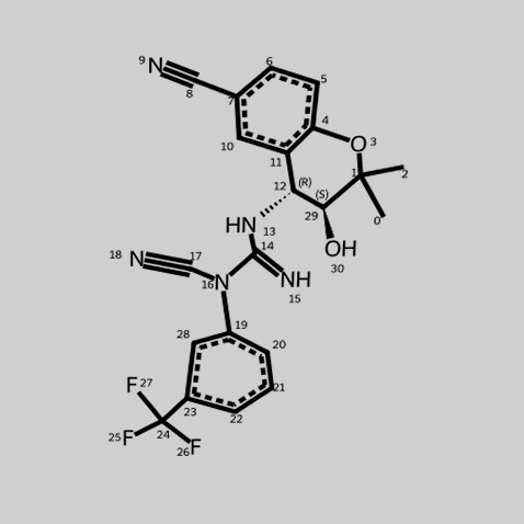 CC1(C)Oc2ccc(C#N)cc2[C@@H](NC(=N)N(C#N)c2cccc(C(F)(F)F)c2)[C@@H]1O